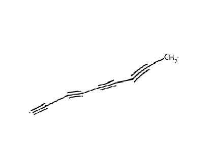 [C]#CC#CC#CC#C[CH2]